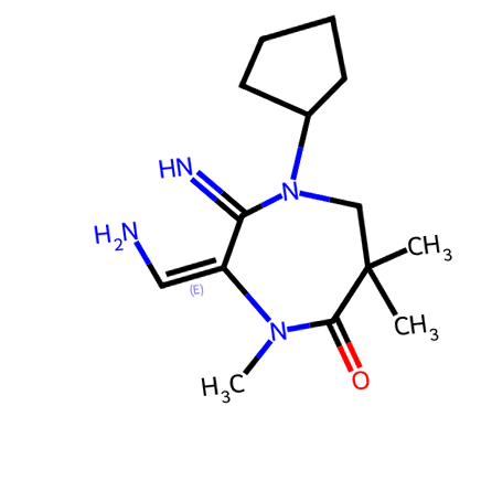 CN1C(=O)C(C)(C)CN(C2CCCC2)C(=N)/C1=C\N